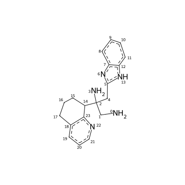 NCC(N)(Cc1nc2ccccc2[nH]1)C1CCCc2cccnc21